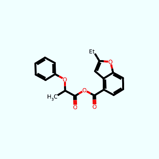 CCc1cc2c(C(=O)OC(=O)C(C)Oc3ccccc3)cccc2o1